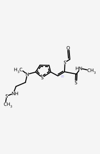 CNC(=S)/C(=C/c1ccc(N(C)CCNSC)s1)SC=O